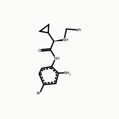 C[C](C)CN[C@@H](C(=O)Nc1ccc(Br)cc1N)C1CC1